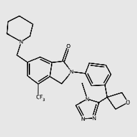 Cn1cnnc1C1(c2cccc(N3Cc4c(cc(CN5CCCCC5)cc4C(F)(F)F)C3=O)c2)COC1